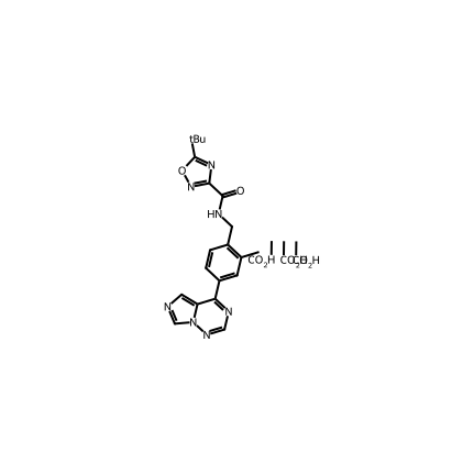 CC(=O)O.CC(=O)O.CC(=O)O.Cc1cc(-c2ncnn3cncc23)ccc1CNC(=O)c1noc(C(C)(C)C)n1